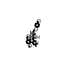 COc1ccc(CO)c(F)c1-c1cc(C)ncc1C(=O)Nc1nnc(COc2ccc(Cl)cc2)s1